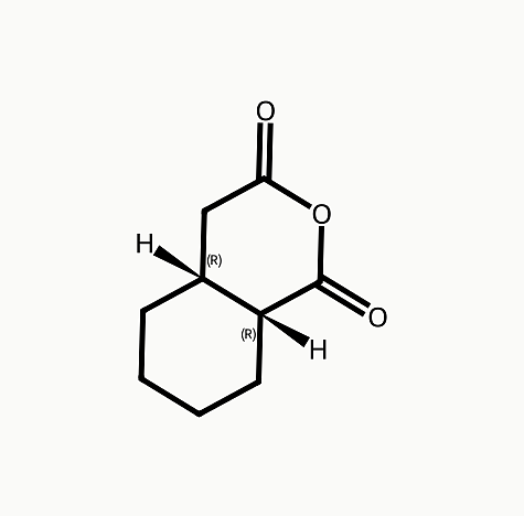 O=C1C[C@H]2CCCC[C@H]2C(=O)O1